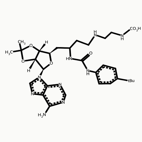 CC1(C)O[C@@H]2[C@H](O1)[C@@H](CC(CCNCCNC(=O)O)NC(=O)Nc1ccc(C(C)(C)C)cc1)O[C@H]2n1cnc2c(N)ncnc21